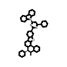 CC1c2ccccc2-c2c(ccc3c2oc2cc(-c4nc(-c5ccccc5)cc(-n5c6ccccc6c6ccccc65)n4)ccc23)[C@@H]1c1ccccc1